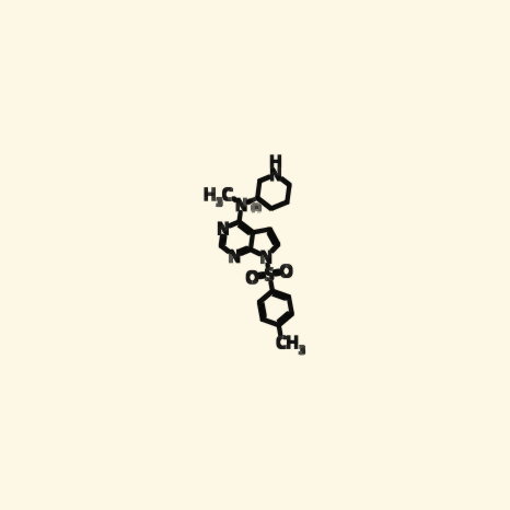 Cc1ccc(S(=O)(=O)n2ccc3c(N(C)[C@@H]4CCCNC4)ncnc32)cc1